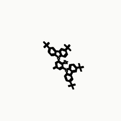 Cc1cc(-n2c3ccc(C(C)(C)C)cc3c3cc(C(C)(C)C)ccc32)c(Br)c(-n2c3ccc(C(C)(C)C)cc3c3cc(C(C)(C)C)ccc32)c1